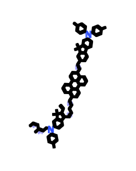 C=CC1=C(/C=C\C/C=C/c2ccc3c4cccc5c(/C=C/c6ccc7c(c6)C(C)(C)C6=C7C=CC(N(c7ccc(C)cc7)c7ccc(C)cc7)C6)ccc(c6cccc2c63)c54)c2ccc(N(C/C=C(C)\C=C/C)c3ccc(C)cc3)cc2C1(C)C